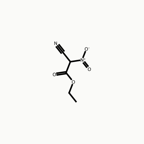 CCOC(=O)C(C#N)[N+](=O)[O-]